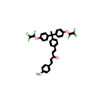 CC(c1ccc(C=CC(=O)C=Cc2ccc(C#N)cc2)cc1)(c1ccc(OC(F)=C(F)F)cc1)c1ccc(OC(F)=C(F)F)cc1